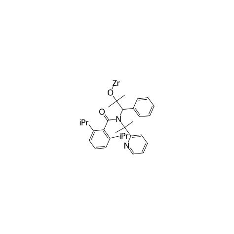 CC(C)c1cccc(C(C)C)c1C(=O)N(C(c1ccccc1)C(C)(C)[O][Zr])C(C)(C)c1ccccn1